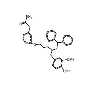 COc1ccc(CN(CCCOc2cccc(CC(N)=O)c2)CC(c2ccccc2)c2ccccc2)cc1OC